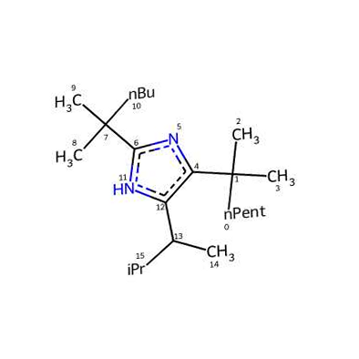 CCCCCC(C)(C)c1nc(C(C)(C)CCCC)[nH]c1C(C)C(C)C